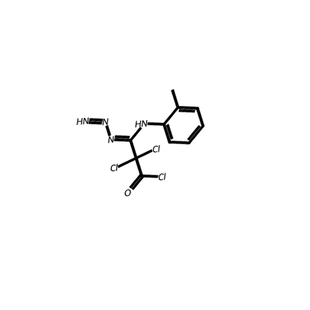 Cc1ccccc1N/C(=N\N=N)C(Cl)(Cl)C(=O)Cl